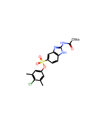 COC(=O)Nc1nc2cc(S(=O)(=O)Oc3cc(C)c(Cl)c(C)c3)ccc2[nH]1